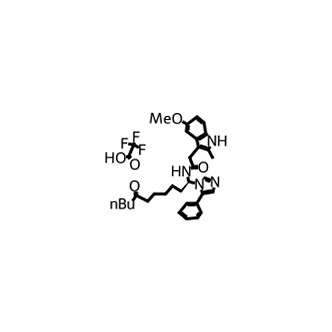 CCCCC(=O)CCCCC[C@@H](NC(=O)Cc1c(C)[nH]c2ccc(OC)cc12)n1cncc1-c1ccccc1.O=C(O)C(F)(F)F